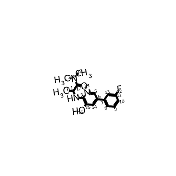 CC(Nc1ncc(-c2cccc(F)c2)cc1O)C(=O)N(C)C